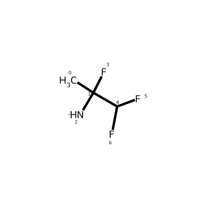 CC([NH])(F)C(F)F